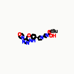 CC(C)(C)OC(O)N1CC(N2CC[C@H](c3ccc4c(c3)Nc3ncnc(N5CCOCC5)c3CO4)C2)C1